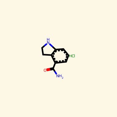 Cl.NC(=O)c1cccc2c1CCN2